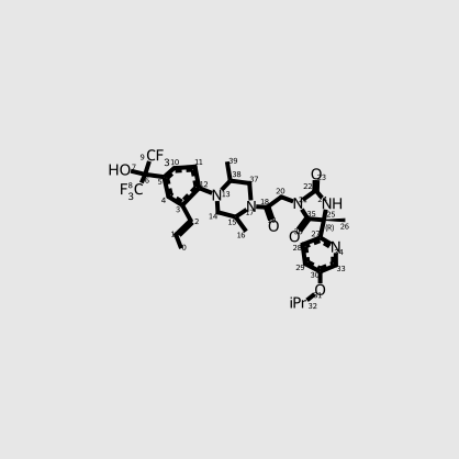 CC=Cc1cc(C(O)(C(F)(F)F)C(F)(F)F)ccc1N1CC(C)N(C(=O)CN2C(=O)N[C@](C)(c3ccc(OC(C)C)cn3)C2=O)CC1C